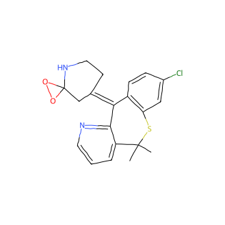 CC1(C)Sc2cc(Cl)ccc2C(=C2CCNC3(C2)OO3)c2ncccc21